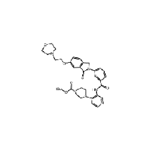 CC(C)(C)OC(=O)N1CCN(c2ccncc2NC(=O)c2cccc(N3Cc4ccc(OCCN5CCOCC5)cc4C3=O)n2)CC1